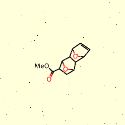 COC(=O)C1CC2OC1C1C3C=CC(O3)C21